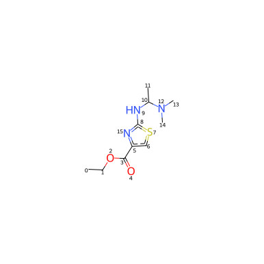 CCOC(=O)c1csc(NC(C)N(C)C)n1